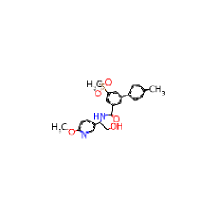 COc1ccc(C(CO)NC(=O)c2cc(-c3ccc(C)cc3)cc(S(C)(=O)=O)c2)cn1